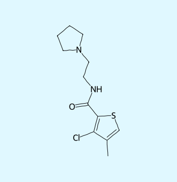 Cc1csc(C(=O)NCCN2CCCC2)c1Cl